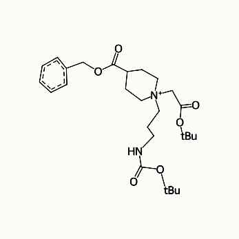 CC(C)(C)OC(=O)C[N+]1(CCCNC(=O)OC(C)(C)C)CCC(C(=O)OCc2ccccc2)CC1